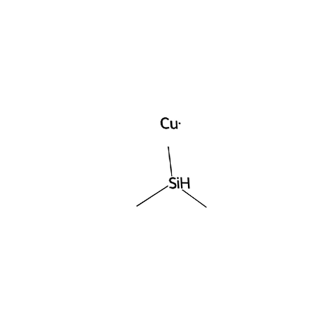 C[SiH](C)C.[Cu]